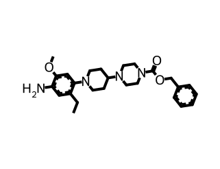 CCc1cc(N)c(OC)cc1N1CCC(N2CCN(C(=O)OCc3ccccc3)CC2)CC1